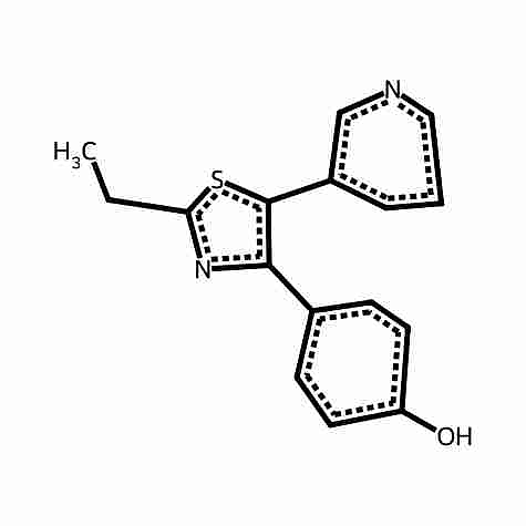 CCc1nc(-c2ccc(O)cc2)c(-c2cccnc2)s1